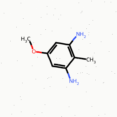 COc1cc(N)c(C)c(N)c1